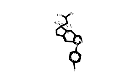 CC(C)C(O)C[C@]1(C)CCC2=Cc3c(cnn3-c3ccc(F)cc3)C[C@@]21C